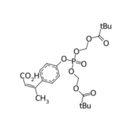 C/C(=C/C(=O)O)c1ccc(OP(=O)(OCOC(=O)C(C)(C)C)OCOC(=O)C(C)(C)C)cc1